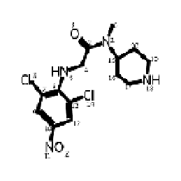 CN(C(=O)CNc1c(Cl)cc([N+](=O)[O-])cc1Cl)C1CCNCC1